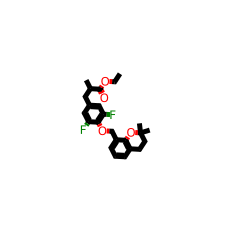 CCOC(=O)C(C)Cc1cc(F)c(OCc2cccc3c2OC(C)(C)CC3)c(F)c1